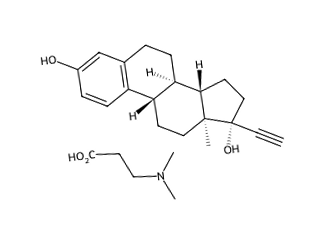 C#C[C@]1(O)CC[C@H]2[C@@H]3CCc4cc(O)ccc4[C@H]3CC[C@@]21C.CN(C)CCC(=O)O